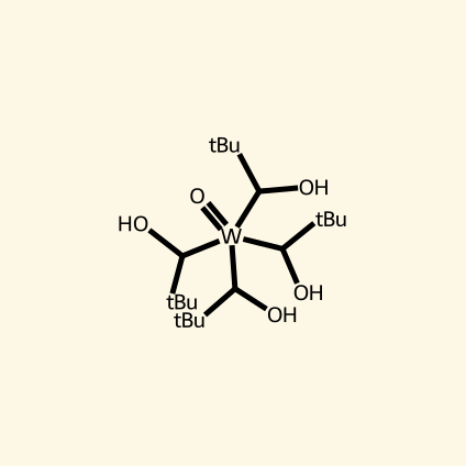 CC(C)(C)[CH](O)[W](=[O])([CH](O)C(C)(C)C)([CH](O)C(C)(C)C)[CH](O)C(C)(C)C